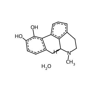 CN1CCc2cccc3c2[C@H]1Cc1ccc(O)c(O)c1-3.O